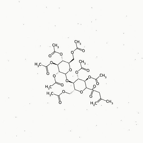 C=C(C)CS(=O)(=O)C1O[C@H](COC(C)=O)[C@@H](OC2O[C@H](COC(C)=O)[C@@H](OC(C)=O)[C@H](OC(C)=O)[C@H]2OC(C)=O)[C@H](OC(C)=O)[C@H]1OC(C)=O